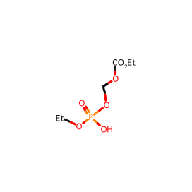 CCOC(=O)OCOP(=O)(O)OCC